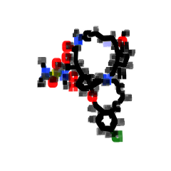 CO[C@H]1/C=C/CCN(C)C(=O)C[C@](O)(C(=O)N(C)S(=O)(=O)N(C)C)c2ccc3c(c2)N(CCCCc2cc(Cl)ccc2CO3)C[C@@H]2CC[C@H]21